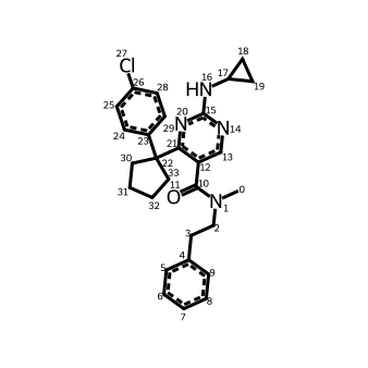 CN(CCc1ccccc1)C(=O)c1cnc(NC2CC2)nc1C1(c2ccc(Cl)cc2)CCCC1